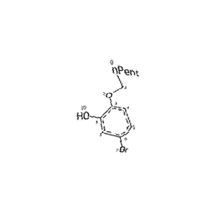 CCCCCCOc1ccc(Br)cc1O